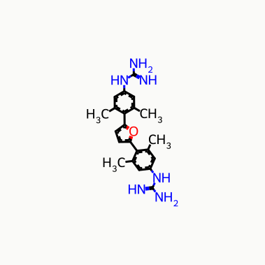 Cc1cc(NC(=N)N)cc(C)c1-c1ccc(-c2c(C)cc(NC(=N)N)cc2C)o1